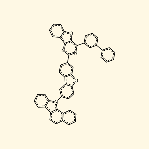 c1ccc(-c2cccc(-c3nc(-c4ccc5c(c4)oc4ccc(-n6c7ccccc7c7ccc8ccccc8c76)cc45)nc4c3oc3ccccc34)c2)cc1